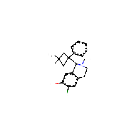 CN1CCc2cc(Cl)c(O)cc2C1C1(c2ccccc2)CC(C)(C)C1